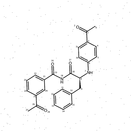 CC(=O)c1ccc(N[C@@H](Cc2ccccc2)C(=O)NC(=O)c2cccc(C(C)=O)c2)cc1